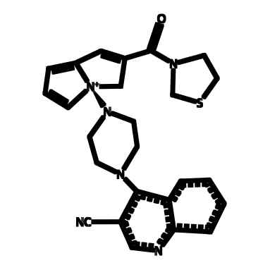 N#Cc1cnc2ccccc2c1N1CCN([N@@+]23C=CC=C2C=C(C(=O)N2CCSC2)C3)CC1